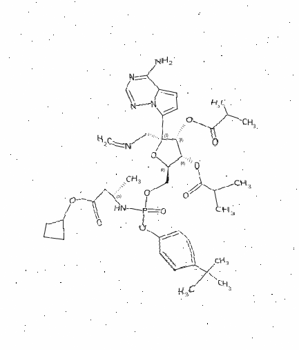 C=NC[C@@]1(c2ccc3c(N)ncnn23)O[C@H](COP(=O)(N[C@@H](C)CC(=O)OC2CCC2)Oc2ccc(C(C)(C)C)cc2)[C@@H](OC(=O)C(C)C)[C@H]1OC(=O)C(C)C